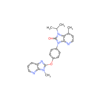 Cc1ccnc2c1n(C(C)C)c(=O)n2-c1ccc(Oc2nc3cccnc3n2C)cc1